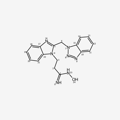 N=C(CCn1c(Cn2nnc3ccccc32)nc2ccccc21)NO